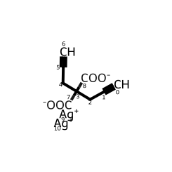 C#CCC(CC#C)(C(=O)[O-])C(=O)[O-].[Ag+].[Ag+]